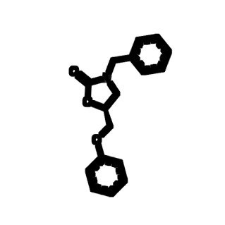 O=C1O[C@H](COc2ccccc2)CN1Cc1ccccc1